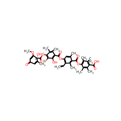 C=Cc1c(OC(=O)c2c(C)c(C)c(OC(=O)[C@@]3(O)C(C)=CC(=O)C=C3OC)c(Br)c2O)cc(C)c(C(=O)Oc2c(C)c(C)c(C(=O)O)c(C)c2C)c1C